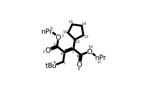 CCCOC(=O)C(CC(C)(C)C)=C(C(=O)OCCC)C1CCCC1